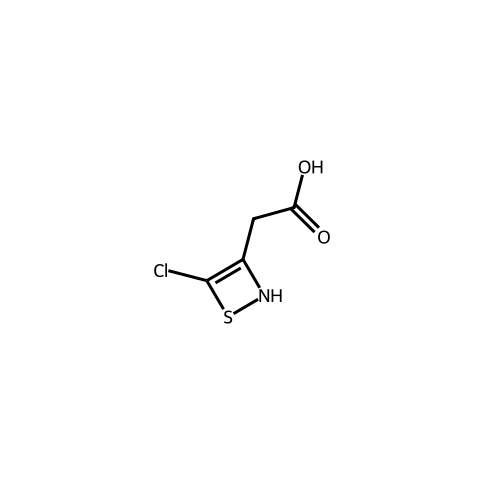 O=C(O)Cc1[nH]sc1Cl